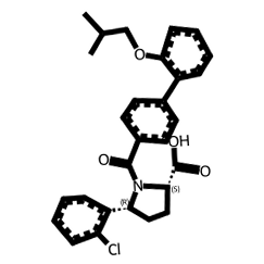 CC(C)COc1ccccc1-c1ccc(C(=O)N2[C@@H](c3ccccc3Cl)CC[C@H]2C(=O)O)cc1